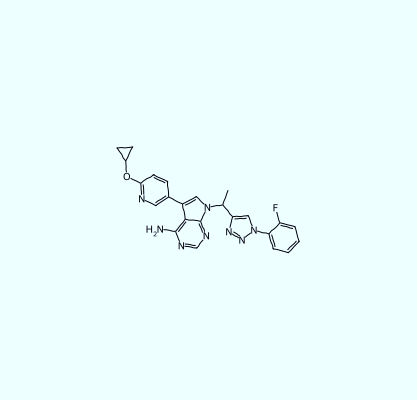 CC(c1cn(-c2ccccc2F)nn1)n1cc(-c2ccc(OC3CC3)nc2)c2c(N)ncnc21